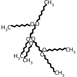 CCCCCCCCCOC(CCC=CC(OCCCCCCC)OC(C=CCCC(OCCCCCCCCC)OCCCCCCCCC)OCCCCCCC)OCCCCCCCCC